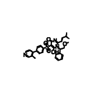 COCC(c1ccccc1)n1c(CCC(C)C)nc(=O)c(S(=O)(=O)c2ccc(-c3ccncc3C)cc2)c1O